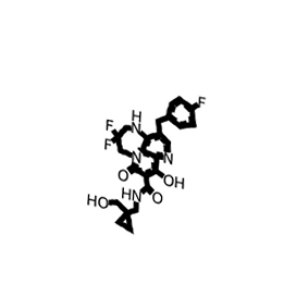 O=C(NCC1(CO)CC1)c1c(O)c2ncc(Cc3ccc(F)cc3)c3c2n(c1=O)CC(F)(F)CN3